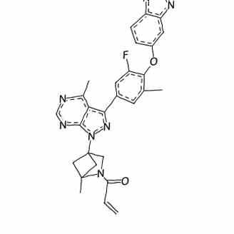 C=CC(=O)N1CC2(n3nc(-c4cc(C)c(Oc5ccc6c(c5)ncn6C)c(F)c4)c4c(C)ncnc43)CC1(C)C2